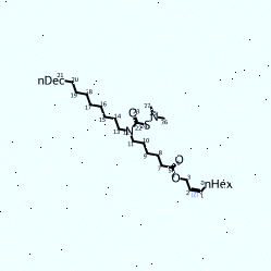 CCCCCC/C=C\COC(=O)CCCCCN(CCCCCCCCCCCCCCCCCC)C(=O)SN(C)C